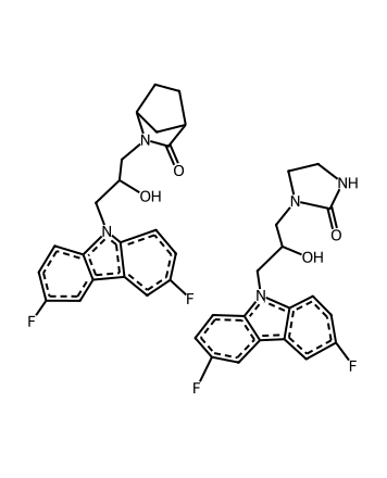 O=C1C2CCC(C2)N1CC(O)Cn1c2ccc(F)cc2c2cc(F)ccc21.O=C1NCCN1CC(O)Cn1c2ccc(F)cc2c2cc(F)ccc21